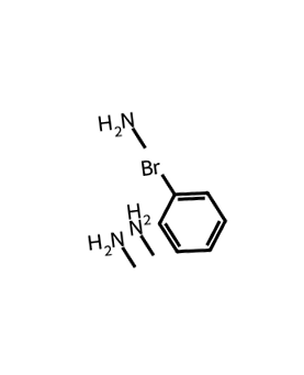 Brc1ccccc1.CN.CN.CN